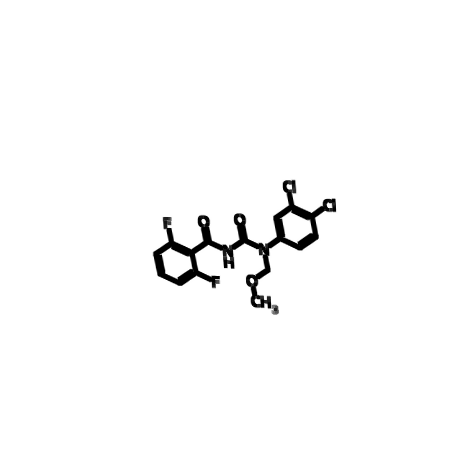 COCN(C(=O)NC(=O)c1c(F)cccc1F)c1ccc(Cl)c(Cl)c1